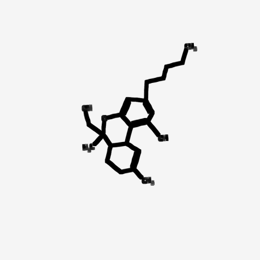 CCCCCc1cc(O)c2c(c1)OC(C)(CO)C1CCC(C)=CC21